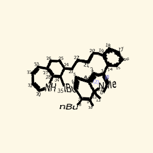 C/C=C(\C=C1\C=CC(CCCC)=C(C)C1(C)NC)c1ccccc1CCCCC1CCC2=C(NC=CC=C2)C1C(C)CC